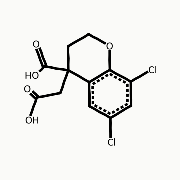 O=C(O)CC1(C(=O)O)CCOc2c(Cl)cc(Cl)cc21